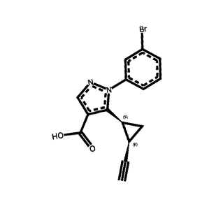 C#C[C@@H]1C[C@@H]1c1c(C(=O)O)cnn1-c1cccc(Br)c1